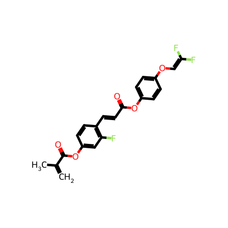 C=C(C)C(=O)Oc1ccc(/C=C/C(=O)Oc2ccc(OC=C(F)F)cc2)c(F)c1